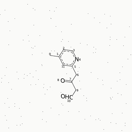 Cc1ccnc(CC(=O)CC=O)c1